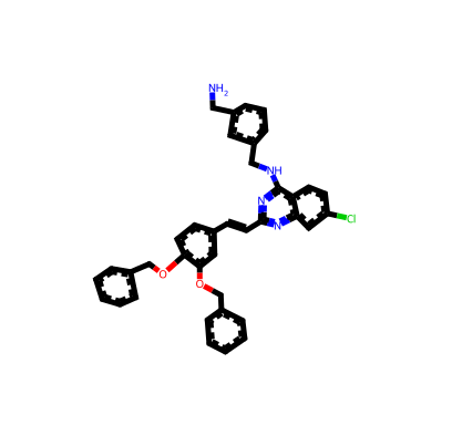 NCc1cccc(CNc2nc(C=Cc3ccc(OCc4ccccc4)c(OCc4ccccc4)c3)nc3cc(Cl)ccc23)c1